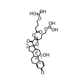 C[C@@H]1CC2C3CCC4=CC(=O)C=C[C@]4(C)[C@@]3(F)[C@@H](O)C[C@]2(C)[C@@]1(OC(=O)CCCON(O)O)C(=O)COC(=O)CCCON(O)O